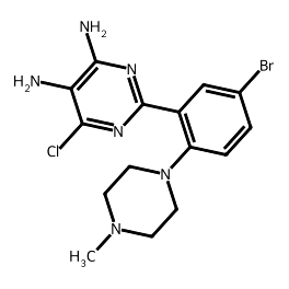 CN1CCN(c2ccc(Br)cc2-c2nc(N)c(N)c(Cl)n2)CC1